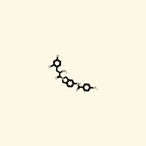 NC(Cc1ccc(Cl)cc1Cl)C(=O)N1Cc2ccc(NC(=O)c3ccc(C(F)(F)F)cc3)cc2C1